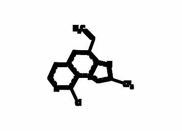 C=Cc1cc2ccnc(Cl)c2n2cc(C(F)(F)F)nc12